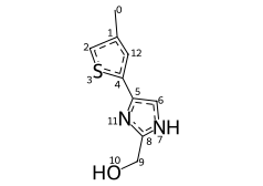 Cc1csc(-c2c[nH]c(CO)n2)c1